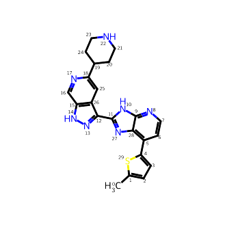 Cc1ccc(-c2ccnc3[nH]c(-c4n[nH]c5cnc(C6CCNCC6)cc45)nc23)s1